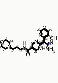 C/N=C(N)\C(=C1\N=CC(C(=O)NCCCN2CCOCC2)=CN1)c1ccccn1